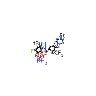 CCN1CCN(Cc2ccc(C(=O)Nc3c(C(C)(C)C)cc(F)c(OC(N)=O)c3F)cc2C(F)(F)F)CC1